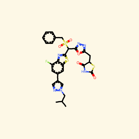 CC(C)Cn1cc(-c2cc(F)c3nc(C(c4nnc(CC5SC(=O)NC5=O)o4)S(=O)(=O)Cc4ccccc4)sc3c2)cn1